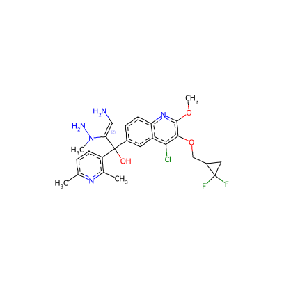 COc1nc2ccc(C(O)(/C(=C/N)N(C)N)c3ccc(C)nc3C)cc2c(Cl)c1OCC1CC1(F)F